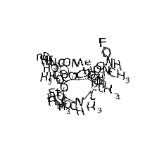 CCCNC[C@]1(O)[C@H](C)O[C@@H](O[C@H]2[C@H](C)[C@@H](O[C@@H]3O[C@H](C)C[C@H](N(C)C(=O)Nc4ccc(F)cc4)[C@H]3O)[C@](C)(O)C[C@@H](C)CN[C@H](C)[C@@H](O)[C@](C)(O)[C@@H](CC)OC(=O)[C@@H]2C)C[C@@]1(C)OC